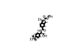 CC[C@H]1c2ccc(C(=O)N[C@@H](CO)c3ccc(S(=O)(=O)CC)cc3)cc2CN1C(=O)OC(C)(C)C